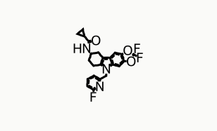 O=C(NC1CCc2c(c3cc4c(cc3n2Cc2cccc(F)n2)OC(F)(F)O4)C1)C1CC1